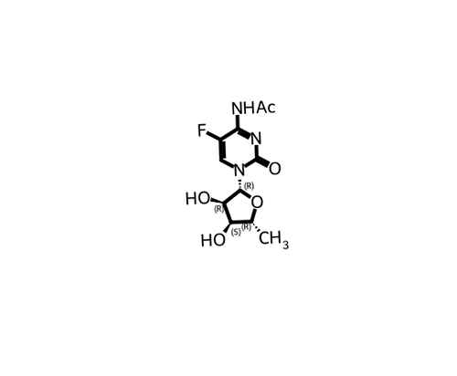 CC(=O)Nc1nc(=O)n([C@@H]2O[C@H](C)[C@@H](O)[C@H]2O)cc1F